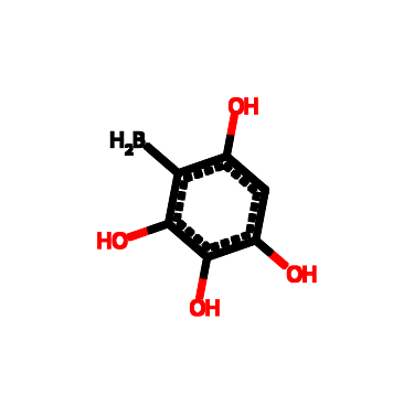 Bc1c(O)cc(O)c(O)c1O